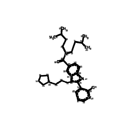 CC(C)CCN(CCC(C)C)C(=O)c1ccc2nc(-c3cccnc3Cl)c(CCCN3CCCC3)n2c1